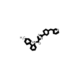 Cc1ccc(-c2ccccc2NC(=O)c2csc(C3CCC(Cc4cccnc4)CC3)n2)cc1